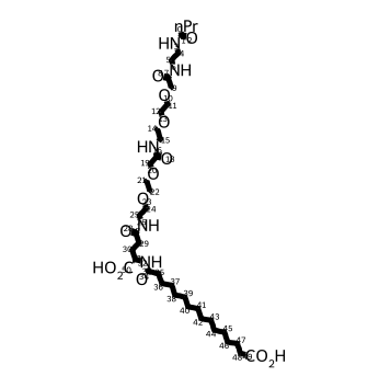 CCCC(=O)NCCNC(=O)COCCOCCNC(=O)COCCOCCNC(=O)CC[C@H](NC(=O)CCCCCCCCCCCCCCC(=O)O)C(=O)O